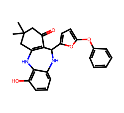 CC1(C)CC(=O)C2=C(C1)Nc1c(O)cccc1NC2c1ccc(Oc2ccccc2)o1